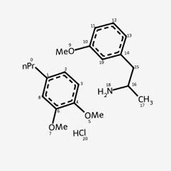 CCCc1ccc(OC)c(OC)c1.COc1cccc(CC(C)N)c1.Cl